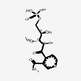 COP(=O)(O)OC[C@@H](O)[C@@H](O)[C@@H](O)C(=O)c1ccncc1C(N)=O